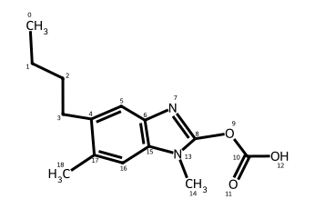 CCCCc1cc2nc(OC(=O)O)n(C)c2cc1C